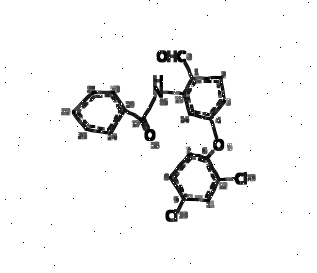 O=Cc1ccc(Oc2ccc(Cl)cc2Cl)cc1NC(=O)c1ccccc1